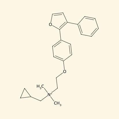 C[N+](C)(CCOc1ccc(-c2occc2-c2ccccc2)cc1)CC1CC1